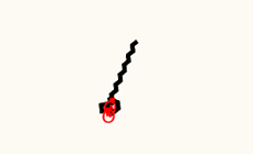 CCCCCCCCCCCCC1=C2CCC23OC3(OCC)C=C1